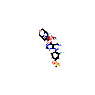 CC(C)OC(=O)N1C2COCC1CC(Oc1ncnc(Nc3ccc(S(C)(=O)=O)cc3F)c1C=N)C2